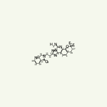 Nc1nc2c3c(ccc2c2nc(CCN4Cc5ncccc5C4=O)nn12)CCC(F)(F)O3